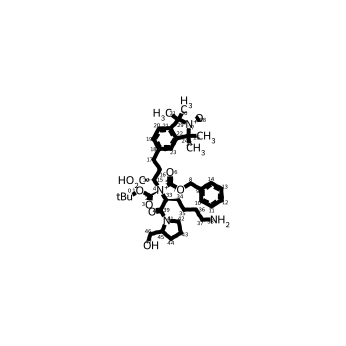 CC(C)(C)OC(=O)[N@+](C(=O)OCc1ccccc1)([C@@H](CCc1ccc2c(c1)C(C)(C)[N+](=O)C2(C)C)C(=O)O)[C@@H](CCCCN)C(=O)N1CCCC1CO